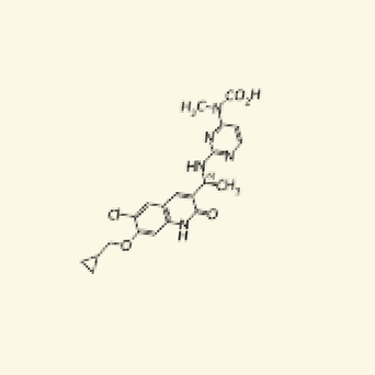 C[C@H](Nc1nccc(N(C)C(=O)O)n1)c1cc2cc(Cl)c(OCC3CC3)cc2[nH]c1=O